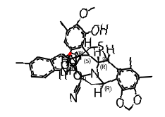 COc1c(C)cc2c(c1O)[C@H]1[C@@H]3[C@@H]4SC[C@]5(NCCc6c5[nH]c5ccc(C)cc65)C(=O)OC[C@@H](c5c6c(c(C)c(C)c54)OCO6)N3[C@@H](C#N)[C@H](C2)N1C